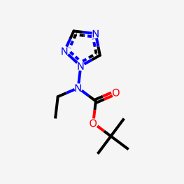 CCN(C(=O)OC(C)(C)C)n1cncn1